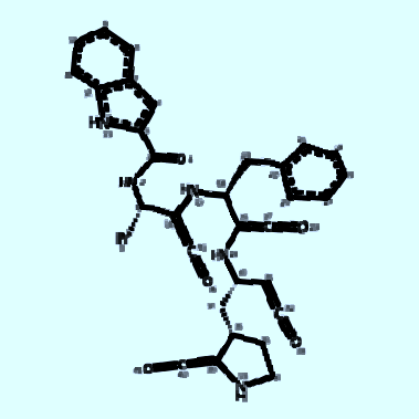 CC(C)[C@H](NC(=O)c1cc2ccccc2[nH]1)C(=C=O)N[C@@H](Cc1ccccc1)C(=C=O)N[C@H](C=C=O)C[C@@H]1CCNC1=C=O